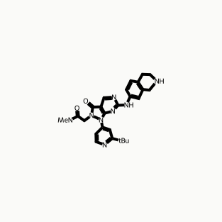 CNC(=O)Cn1c(=O)c2cnc(Nc3ccc4c(c3)CNCC4)nc2n1-c1ccnc(C(C)(C)C)c1